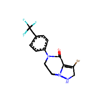 O=C1C2=C(Br)CNN2CCN1c1ccc(C(F)(F)F)cc1